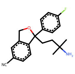 CC(C)(N)CCC1(c2ccc(F)cc2)OCc2cc(C#N)ccc21